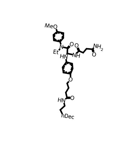 CCCCCCCCCCCCNC(=O)CCCOc1ccc(NC(NC(=O)CCC(N)=O)C(=O)N(CC)c2ccc(OC)cc2)cc1